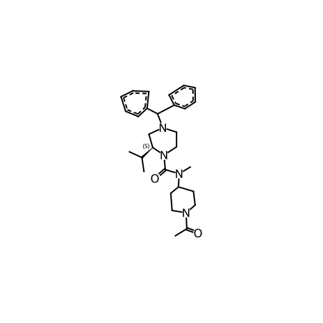 CC(=O)N1CCC(N(C)C(=O)N2CCN(C(c3ccccc3)c3ccccc3)C[C@@H]2C(C)C)CC1